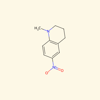 CN1CCCc2cc([N+](=O)[O-])ccc21